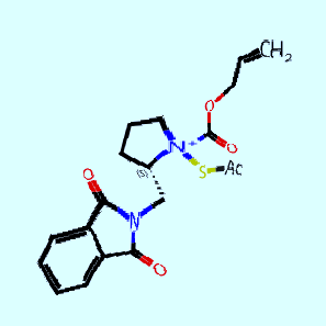 C=CCOC(=O)[N+]1(SC(C)=O)CCC[C@H]1CN1C(=O)c2ccccc2C1=O